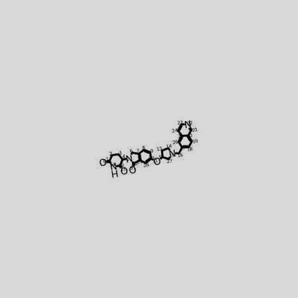 O=C1CCC(N2Cc3ccc(OC4CCN(Cc5ccc6cnccc6c5)C4)cc3C2=O)C(=O)N1